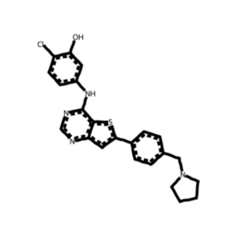 Oc1cc(Nc2ncnc3cc(-c4ccc(CN5CCCC5)cc4)sc23)ccc1Cl